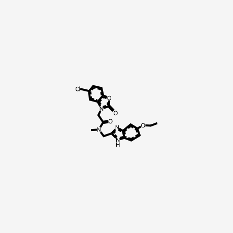 CCOc1ccc2[nH]c(CN(C)C(=O)Cn3c(=O)oc4ccc(Cl)cc43)nc2c1